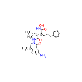 CC[C@H](C)CN(NC(=O)[C@H](CC(C)C)[C@H](CCCc1ccccc1)C(=O)NO)C(=O)CCCN